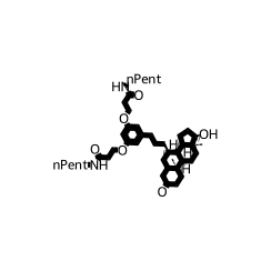 CCCCCNC(=O)CCOc1cc(CCC[C@@H]2CC3CC(=O)CC[C@]3(C)[C@H]3CC[C@]4(C)[C@@H](O)CC[C@H]4[C@H]23)cc(OCCC(=O)NCCCCC)c1